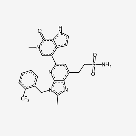 Cc1nc2c(CCS(N)(=O)=O)cc(-c3cn(C)c(=O)c4[nH]ccc34)nc2n1Cc1ccccc1C(F)(F)F